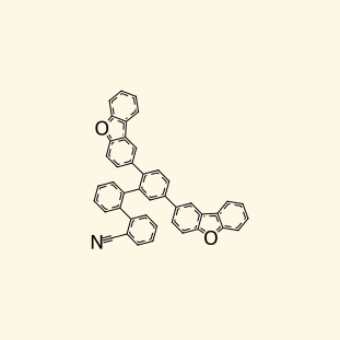 N#Cc1ccccc1-c1ccccc1-c1cc(-c2ccc3oc4ccccc4c3c2)ccc1-c1ccc2oc3ccccc3c2c1